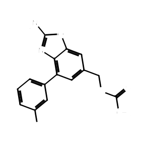 CC(=O)OCc1cc(-c2cccc(Cl)c2)c2nc(N)oc2c1